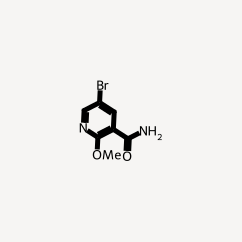 COc1ncc(Br)cc1C(N)=O